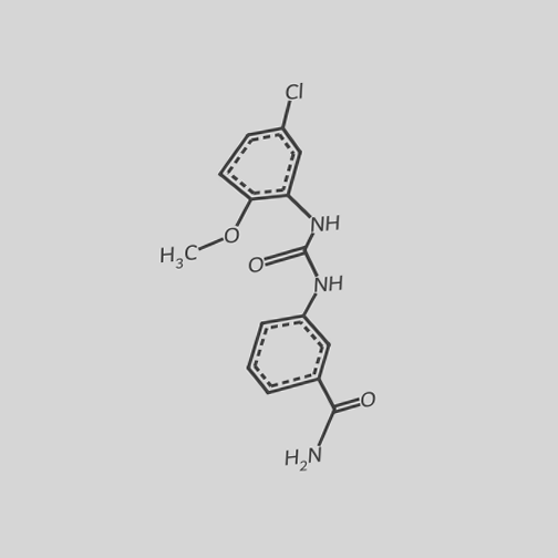 COc1ccc(Cl)cc1NC(=O)Nc1cccc(C(N)=O)c1